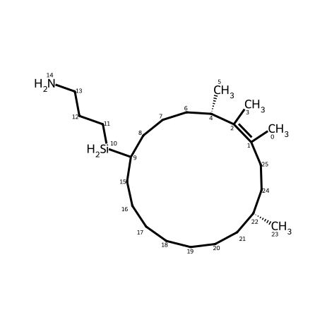 C/C1=C(\C)[C@@H](C)CCCC([SiH2]CCCN)CCCCCCC[C@@H](C)CC1